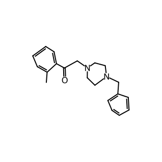 Cc1ccccc1C(=O)CN1CCN(Cc2ccccc2)CC1